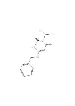 CCC(CC)n1c(=O)cc(NCc2ccccc2)[nH]c1=O